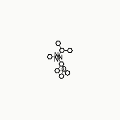 c1ccc(-c2cc(-c3ccccc3)cc(-c3nc(-c4ccccc4)nc(-c4ccc5c(c4)-c4ccccc4C(c4ccccc4)(c4ccccc4)O5)n3)c2)cc1